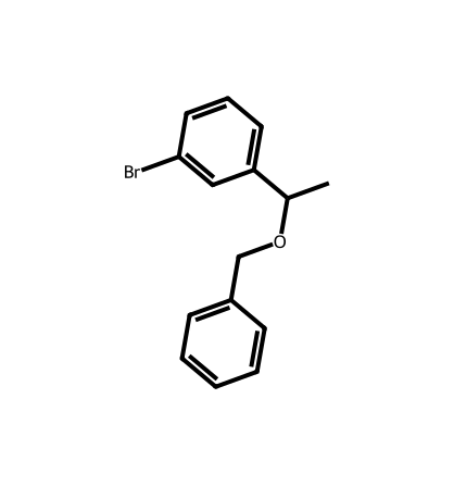 CC(OCc1ccccc1)c1cccc(Br)c1